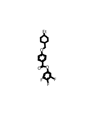 CCC1CCC(COc2ccc(C(=O)Oc3cc(F)c(F)c(F)c3)cc2)CC1